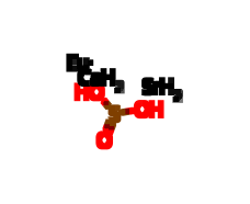 O=S(O)O.[CaH2].[Eu].[SrH2]